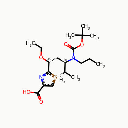 CCCN(C(=O)OC(C)(C)C)[C@H](C[C@@H](OCC)c1nc(C(=O)O)cs1)C(C)C